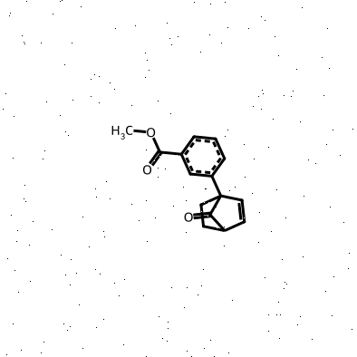 COC(=O)c1cccc(C23C=CC(CC2)C3=O)c1